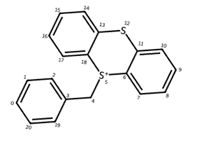 c1ccc(C[S+]2c3ccccc3Sc3ccccc32)cc1